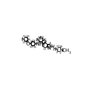 CN1CCN(CCn2cc3c(n2)CCc2c-3sc3ncnc(Nc4ccc(Oc5cccnc5)cc4)c23)CC1